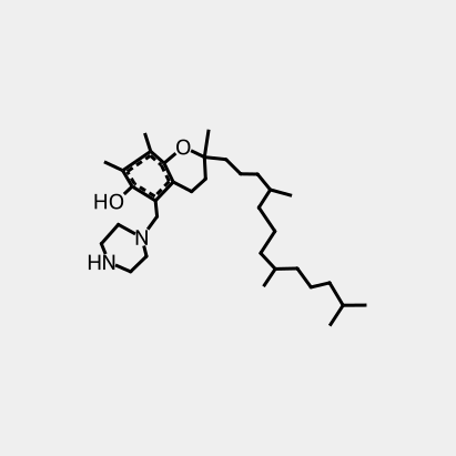 Cc1c(C)c2c(c(CN3CCNCC3)c1O)CCC(C)(CCCC(C)CCCC(C)CCCC(C)C)O2